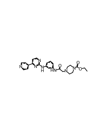 CCOC(=O)N1CCN(CC(=O)Nc2cccc(Nc3nccc(-c4ccncc4)n3)c2)CC1